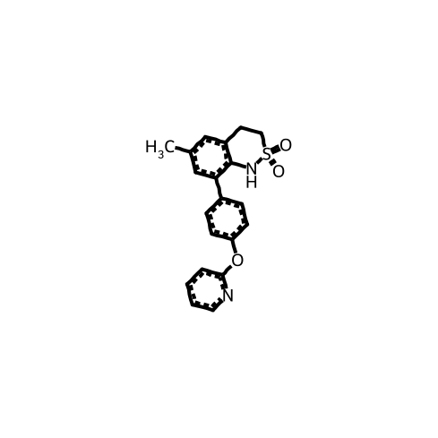 Cc1cc2c(c(-c3ccc(Oc4ccccn4)cc3)c1)NS(=O)(=O)CC2